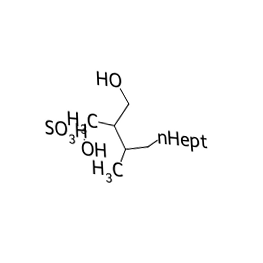 CCCCCCCCC(C)C(C)CO.O=S(=O)(O)O